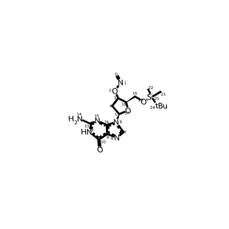 C=NOC1C[C@H](n2cnc3c(=O)[nH]c(N)nc32)O[C@@H]1CO[Si](C)(C)C(C)(C)C